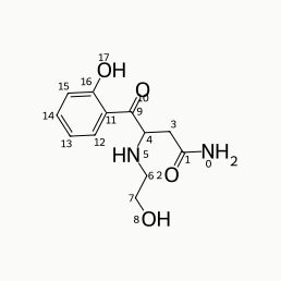 NC(=O)CC(NCCO)C(=O)c1ccccc1O